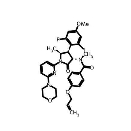 C=CCOc1ccc(C(=O)N(C)[C@@H]2C(=O)N(c3cccc(N4CCOCC4)n3)[C@@H](C)[C@H]2c2c(F)cc(OC)cc2I)cc1